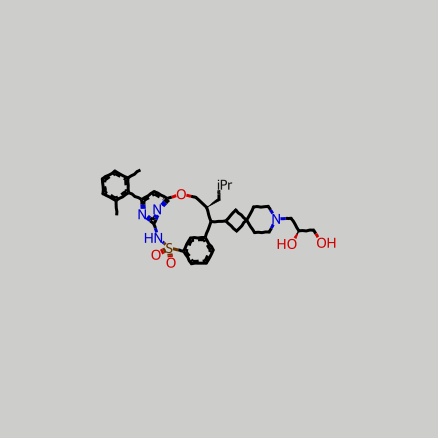 Cc1cccc(C)c1-c1cc2nc(n1)NS(=O)(=O)c1cccc(c1)C(C1CC3(CCN(C[C@H](O)CO)CC3)C1)[C@H](CC(C)C)CO2